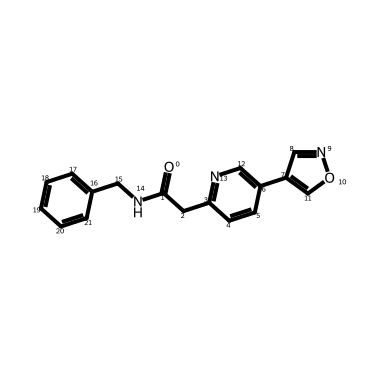 O=C(Cc1ccc(-c2cnoc2)cn1)NCc1ccccc1